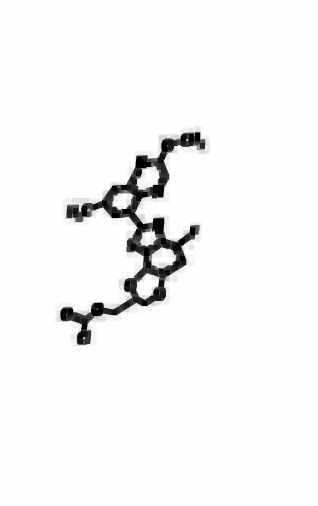 COc1cnc2c(-c3nc4c(F)cc5c(c4s3)OC(COC(=O)Cl)CO5)cc(C)cc2n1